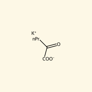 CCCC(=O)C(=O)[O-].[K+]